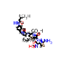 Nc1nc(/C(=N/O)C(=O)N[C@@H]2C(=O)N3C(C(=O)O)=C(/C=C4\CCN(Cc5ccc(NC(=O)CCC(=O)O)cc5)C4=O)CS[C@H]23)cs1.[NaH].[NaH]